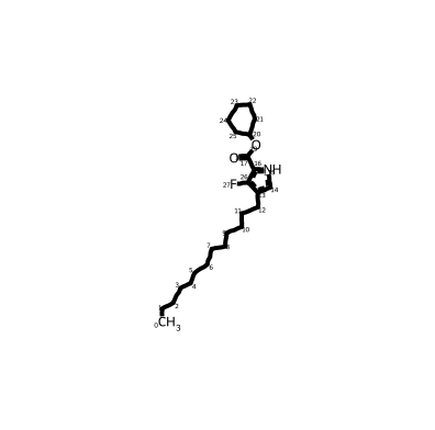 CCCCCCCCCCCCCc1c[nH]c(C(=O)OC2CCCCC2)c1F